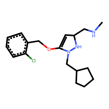 CNCC1C=C(OCc2ccccc2Cl)N(CC2CCCC2)N1